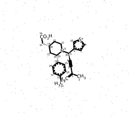 C=C(C)C#C[C@H](c1ccsc1)N1CC[C@@H](CC(=O)O)C[C@H]1c1ccc(C)cc1